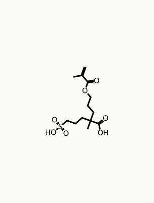 C=C(C)C(=O)OCCCC(C)(CCCS(=O)(=O)O)C(=O)O